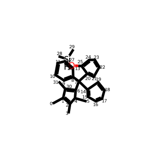 CC1=C(C)C(C)C(C(c2ccccc2)(c2ccccc2)c2ccccc2O[SiH](C)C)=C1C